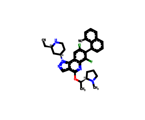 CC(Oc1nc2c(F)c(-c3cccc4cccc(C#N)c34)c(Cl)cc2c2c1cnn2[C@H]1CCN[C@H](CC#N)C1)[C@@H]1CCCN1C